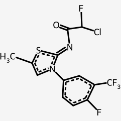 Cc1cn(-c2ccc(F)c(C(F)(F)F)c2)c(=NC(=O)C(F)Cl)s1